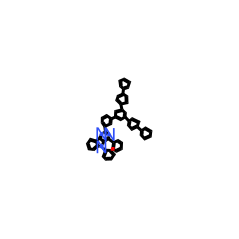 c1ccc(-c2ccc(-c3cc(-c4ccc(-c5ccccc5)cc4)cc(-c4cccc(-c5nc(-c6ccccc6)c6c(n5)c5ccccc5n6-c5ccccc5)c4)c3)cc2)cc1